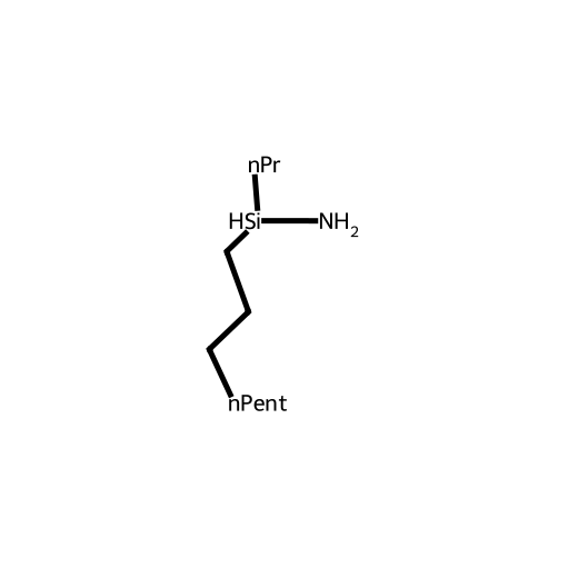 CCCCCCCC[SiH](N)CCC